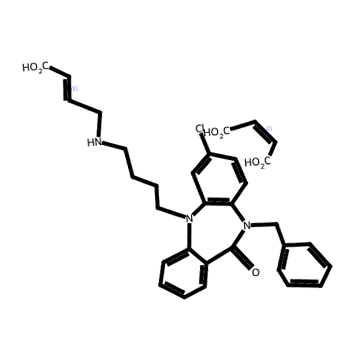 O=C(O)/C=C/CNCCCCN1c2ccccc2C(=O)N(Cc2ccccc2)c2ccc(Cl)cc21.O=C(O)/C=C\C(=O)O